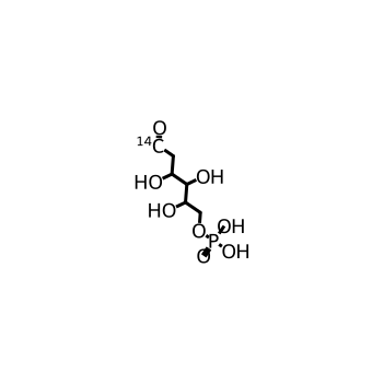 O=[14CH]CC(O)C(O)C(O)COP(=O)(O)O